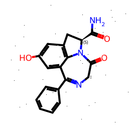 NC(=O)[C@@H]1Cc2cc(O)cc3c2N1C(=O)[C]N=C3c1ccccc1